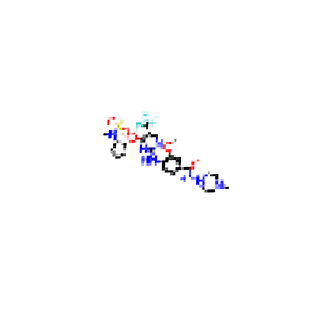 COc1cc(C(=O)NN2CCN(C)CC2)ccc1Nc1ncc(C(F)(F)F)c(O[C@@H]2CCC[C@H]2N(C)S(C)(=O)=O)n1